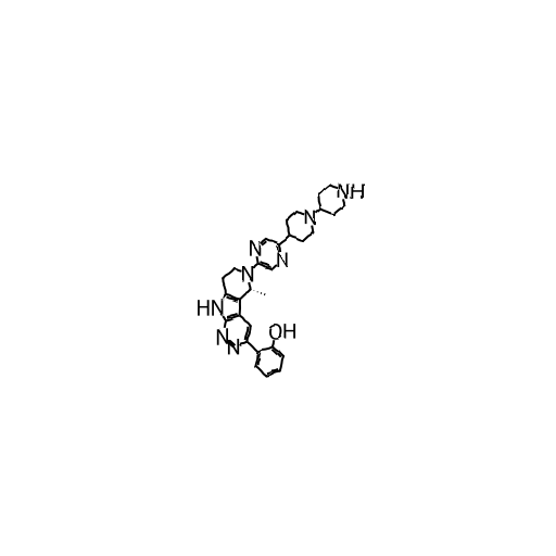 C[C@@H]1c2c([nH]c3nnc(-c4ccccc4O)cc23)CCN1c1cnc(C2CCN(C3CCNCC3)CC2)cn1